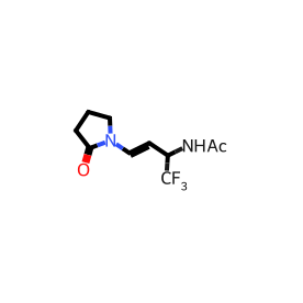 CC(=O)NC(C=CN1CCCC1=O)C(F)(F)F